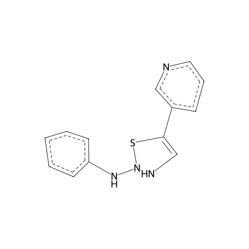 C1=C(c2cccnc2)SN(Nc2ccccc2)N1